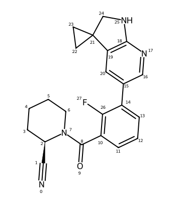 N#C[C@H]1CCCCN1C(=O)c1cccc(-c2cnc3c(c2)C2(CC2)CN3)c1F